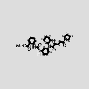 COC(=O)c1ccccc1NC(=O)Nc1cccc(-n2c(=O)c(CCC(=O)N3CCCC3)nc3cccnc32)c1